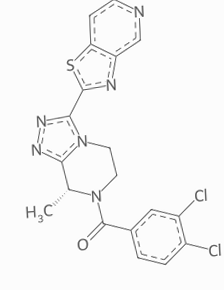 C[C@@H]1c2nnc(-c3nc4cnccc4s3)n2CCN1C(=O)c1ccc(Cl)c(Cl)c1